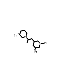 CC[C@@H]1CCCN(C(C)CC2CC(C(C)C)CN(C(C)C)C2)C1